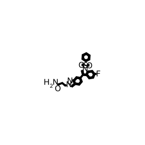 NC(=O)CCn1cc2ccc(-c3cn(S(=O)(=O)c4ccccc4)c4cc(F)ccc34)cc2n1